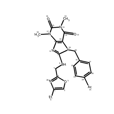 CCc1coc(CBc2nc3c(c(=O)n(C)c(=O)n3C)n2Cc2ccc(C(C)=O)cc2)n1